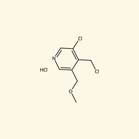 COCc1cncc(Cl)c1CCl.Cl